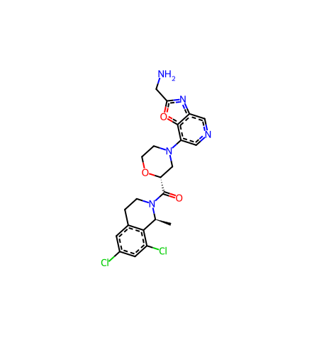 C[C@H]1c2c(Cl)cc(Cl)cc2CCN1C(=O)[C@H]1CN(c2cncc3nc(CN)oc23)CCO1